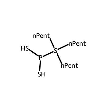 CCCCCS(CCCCC)(CCCCC)P(S)S